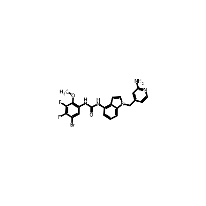 COc1c(NC(=O)Nc2cccc3c2ccn3Cc2ccnc(N)c2)cc(Br)c(F)c1F